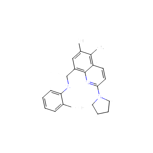 Cc1cc([C@@H](C)Nc2ccccc2C(=O)O)c2nc(N3CCCC3)ccc2c1C#N